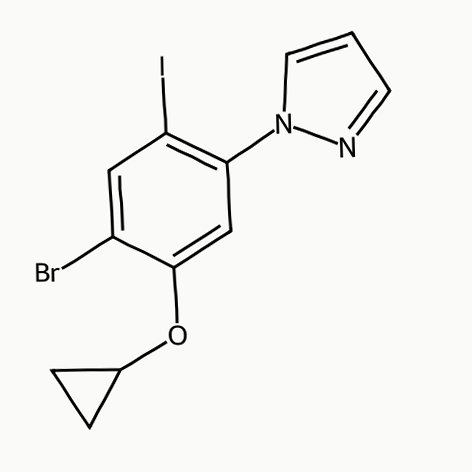 Brc1cc(I)c(-n2cccn2)cc1OC1CC1